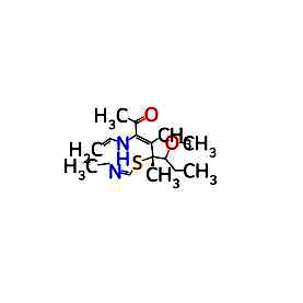 C=CN/C(C(C)=O)=C(/C)[C@@](C)(S/C=N\CC)C(CC)OC